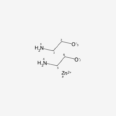 NCC[O-].NCC[O-].[Zn+2]